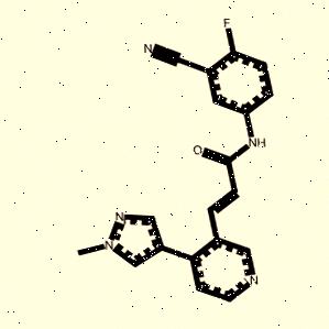 Cn1cc(-c2ccncc2C=CC(=O)Nc2ccc(F)c(C#N)c2)cn1